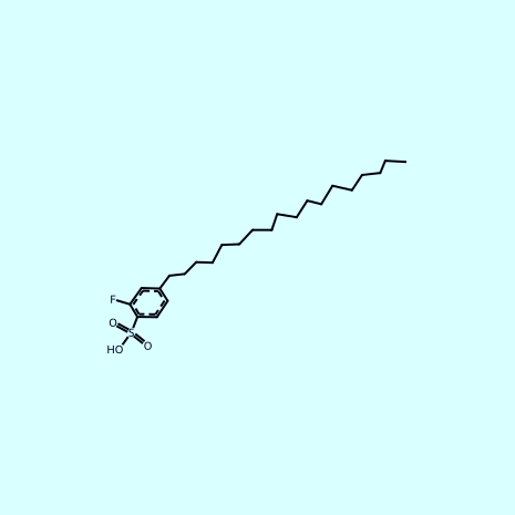 CCCCCCCCCCCCCCCCCCc1ccc(S(=O)(=O)O)c(F)c1